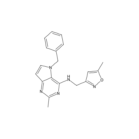 Cc1nc(NCc2cc(C)on2)c2c(ccn2Cc2ccccc2)n1